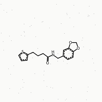 O=C(CCCc1cccs1)NCc1ccc2c(c1)OCO2